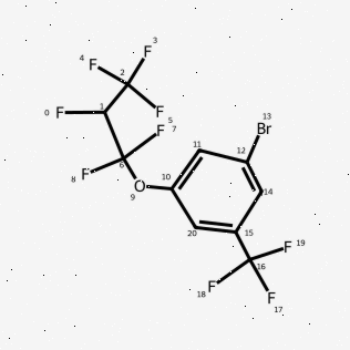 FC(C(F)(F)F)C(F)(F)Oc1cc(Br)[c]c(C(F)(F)F)c1